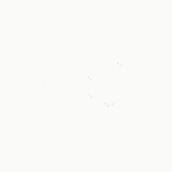 Nc1ccc2c(N)nc(-c3ccc(Br)cc3)nc2c1